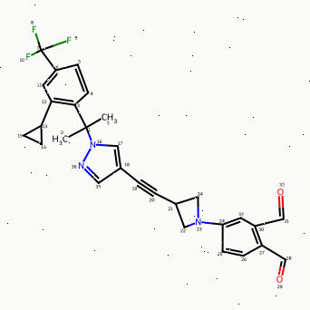 CC(C)(c1ccc(C(F)(F)F)cc1C1CC1)n1cc(C#CC2CN(c3ccc(C=O)c(C=O)c3)C2)cn1